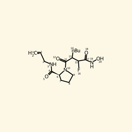 C=CCNC(=O)[C@@H]1CCCN1C(=O)C(CCCC)C(F)C(=O)NO